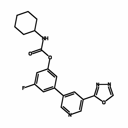 O=C(NC1CCCCC1)Oc1cc(F)cc(-c2cncc(-c3nnco3)c2)c1